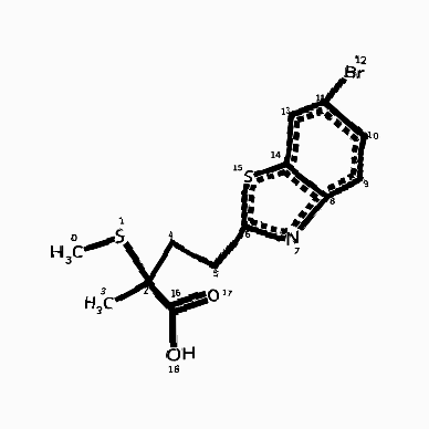 CSC(C)(CCc1nc2ccc(Br)cc2s1)C(=O)O